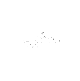 NC(=O)[C@@H]1CC[C@@H](Nc2ncc3nnn(-c4ccc5ncccc5n4)c3n2)C1